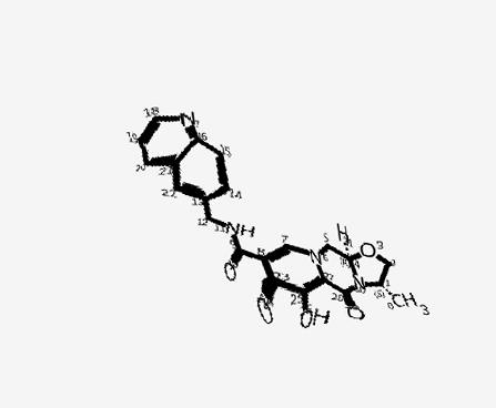 C[C@H]1CO[C@@H]2Cn3cc(C(=O)NCc4ccc5ncccc5c4)c(=O)c(O)c3C(=O)N12